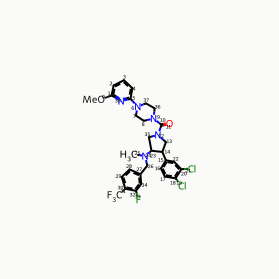 COc1cccc(N2CCN(C(=O)N3CC(c4ccc(Cl)c(Cl)c4)C(N(C)Cc4ccc(C(F)(F)F)c(F)c4)C3)CC2)n1